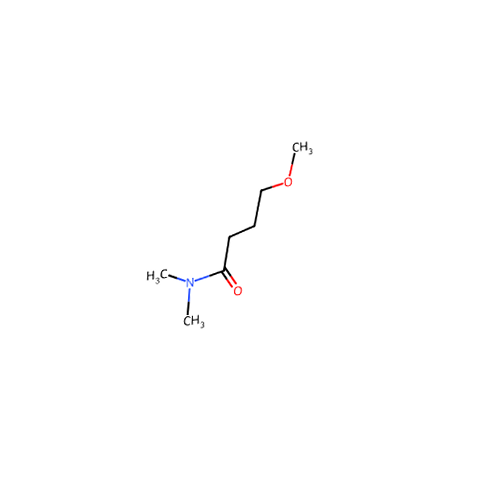 COCCCC(=O)N(C)C